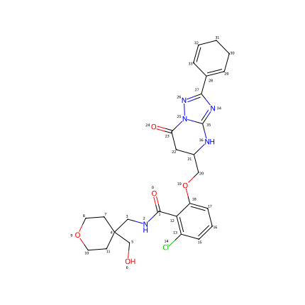 O=C(NCC1(CO)CCOCC1)c1c(Cl)cccc1OCC1CC(=O)n2nc(C3=CCCC=C3)nc2N1